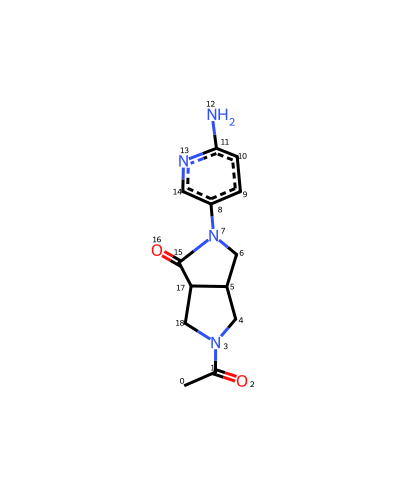 CC(=O)N1CC2CN(c3ccc(N)nc3)C(=O)C2C1